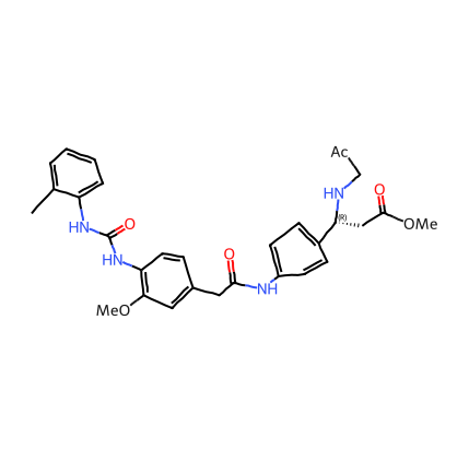 COC(=O)C[C@@H](NCC(C)=O)c1ccc(NC(=O)Cc2ccc(NC(=O)Nc3ccccc3C)c(OC)c2)cc1